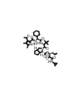 CCC[C@H](NC(=O)[C@@H]1[C@H]2CCC[C@H]2CN1C(=O)[C@@H](NC(=O)[C@@H](NC(=O)c1[nH]c(C)c(C)c1C(C)=O)C1CCCCC1)C(C)(C)C)C(=O)C(=O)NC1CC1